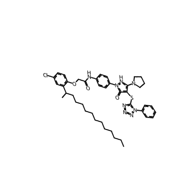 CCCCCCCCCCCCC(C)c1cc(Cl)ccc1OCC(=O)Nc1ccc(-n2[nH]c(N3CCCC3)c(Sc3nnnn3-c3ccccc3)c2=O)cc1